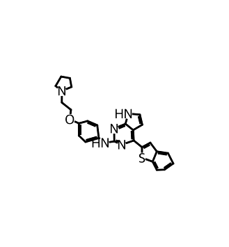 c1ccc2sc(-c3nc(Nc4ccc(OCCN5CCCC5)cc4)nc4[nH]ccc34)cc2c1